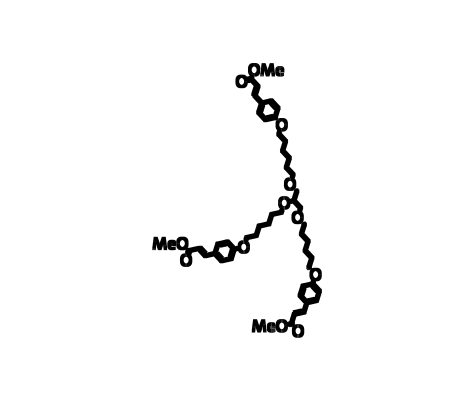 COC(=O)C=Cc1ccc(OCCCCCCOCC(COCCCCCCOc2ccc(C=CC(=O)OC)cc2)OCCCCCCOc2ccc(C=CC(=O)OC)cc2)cc1